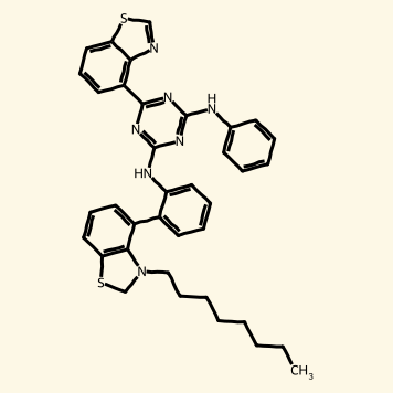 CCCCCCCCN1CSc2cccc(-c3ccccc3Nc3nc(Nc4ccccc4)nc(-c4cccc5scnc45)n3)c21